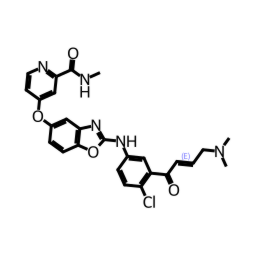 CNC(=O)c1cc(Oc2ccc3oc(Nc4ccc(Cl)c(C(=O)/C=C/CN(C)C)c4)nc3c2)ccn1